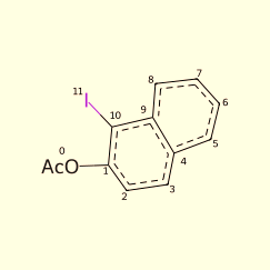 CC(=O)Oc1ccc2ccccc2c1I